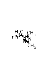 CCCC(C)n1nc(C)nc1C